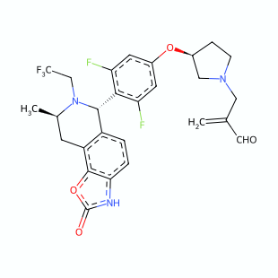 C=C(C=O)CN1CC[C@H](Oc2cc(F)c([C@@H]3c4ccc5[nH]c(=O)oc5c4C[C@@H](C)N3CC(F)(F)F)c(F)c2)C1